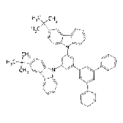 CC(C)(C)c1ccc2c(c1)c1ccccc1n2-c1cc(-c2cc(C3=CCCC=C3)cc(-c3ccccc3)c2)cc(-n2c3ccccc3c3cc(C(C)(C)C)ccc32)c1